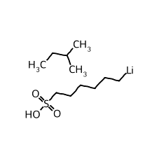 CCC(C)C.[Li][CH2]CCCCCS(=O)(=O)O